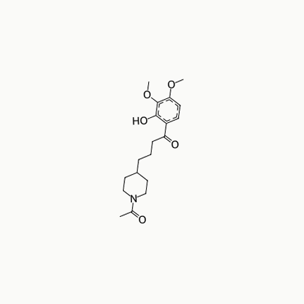 COc1ccc(C(=O)CCCC2CCN(C(C)=O)CC2)c(O)c1OC